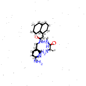 C[C@@H](N)C(=O)NC[C@H](C(=O)NCc1ccc(N)nc1)C1CCCC2CCCCC21